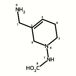 NCC1=CCCN(NC(=O)O)C1